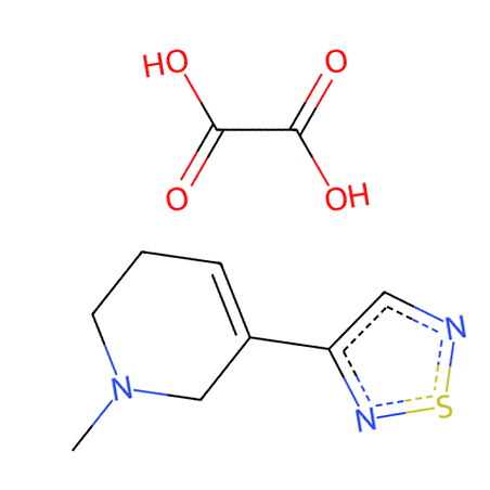 CN1CCC=C(c2cnsn2)C1.O=C(O)C(=O)O